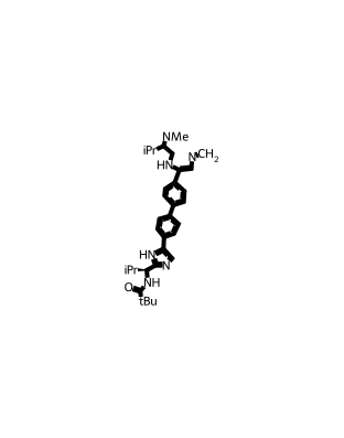 C=N/C=C(\NCC(NC)C(C)C)c1ccc(-c2ccc(-c3cnc([C@@H](NC(=O)C(C)(C)C)C(C)C)[nH]3)cc2)cc1